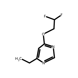 CCc1cc(OCC(F)F)ncn1